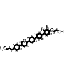 C=CCCC1CCC(C2CCC(C3CCC(c4ccc(-c5ccc(OCCC)c(F)c5F)cc4)CC3)OC2)CC1